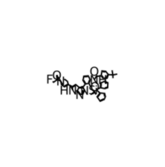 CC(C)(C)c1ccc(C(=O)Nc2cccc(-c3ncnc4[nH]c(C5=CCN(C(=O)CF)CC5)cc34)c2CO[Si](c2ccccc2)(c2ccccc2)C(C)(C)C)cc1